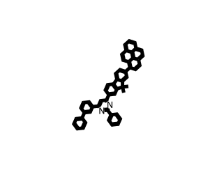 CC1(C)c2cc(-c3cc(-c4cccc(-c5ccccc5)c4)nc(-c4ccccc4)n3)ccc2-c2ccc(-c3ccc4ccc5cccc6ccc3c4c56)cc21